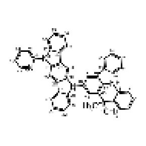 CC1(C)c2ccccc2-n2c3ccccc3c3cc(-n4c5ccccc5c5cc6c(cc54)c4ccccc4n6-c4ccccn4)cc1c32